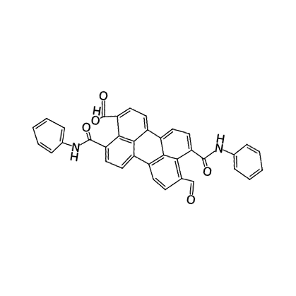 O=Cc1ccc2c3ccc(C(=O)Nc4ccccc4)c4c(C(=O)O)ccc(c5ccc(C(=O)Nc6ccccc6)c1c52)c43